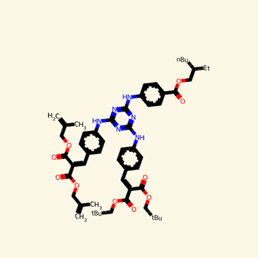 C=C(C)COC(=O)C(=Cc1ccc(Nc2nc(Nc3ccc(C=C(C(=O)OCC(C)(C)C)C(=O)OCC(C)(C)C)cc3)nc(Nc3ccc(C(=O)OCC(CC)CCCC)cc3)n2)cc1)C(=O)OCC(=C)C